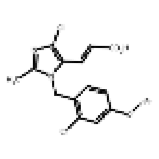 CCCOc1ccc(Cn2c(C)nc(Cl)c2C=CC(=O)O)c(Cl)c1